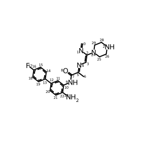 C=N/C(=C\N=C(/C)C(=O)Nc1cc(-c2ccc(F)cc2)ccc1N)N1CCNCC1